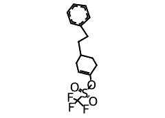 O=S(=O)(OC1=CCC(CCc2ccccc2)CC1)C(F)(F)F